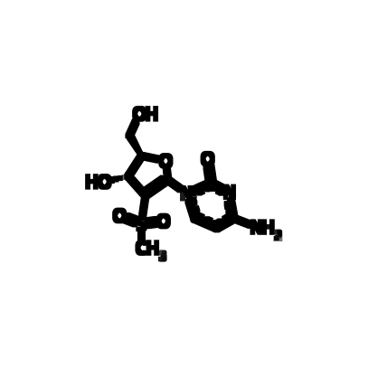 CS(=O)(=O)C1=C(n2ccc(N)nc2=O)O[C@H](CO)[C@H]1O